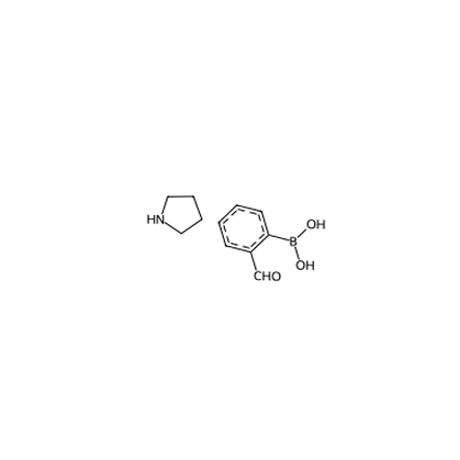 C1CCNC1.O=Cc1ccccc1B(O)O